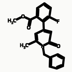 COC(=O)c1cccc(F)c1-c1cc(C)n(Cc2ccccc2)c(=O)c1